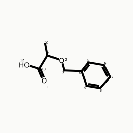 [CH2]C(OCc1ccccc1)C(=O)O